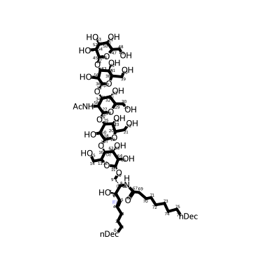 CCCCCCCCCCCCC/C=C/[C@@H](O)[C@H](CO[C@@H]1OC(CO)[C@@H](O[C@@H]2OC(CO)[C@H](O)[C@H](O[C@@H]3OC(CO)[C@@H](O)[C@H](O[C@@H]4OC(CO)[C@H](O)[C@H](O[C@@H]5OC(CO)[C@H](O)[C@H](O)C5O)C4O)C3NC(C)=O)C2O)[C@H](O)C1O)NC(=O)CCCCCCCCCCCCCCCCC